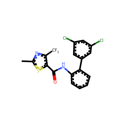 Cc1nc(C(F)(F)F)c(C(=O)Nc2ccccc2-c2cc(Cl)cc(Cl)c2)s1